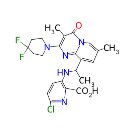 Cc1cc(C(C)Nc2ccc(Cl)nc2C(=O)O)c2nc(N3CCC(F)(F)CC3)c(C)c(=O)n2c1